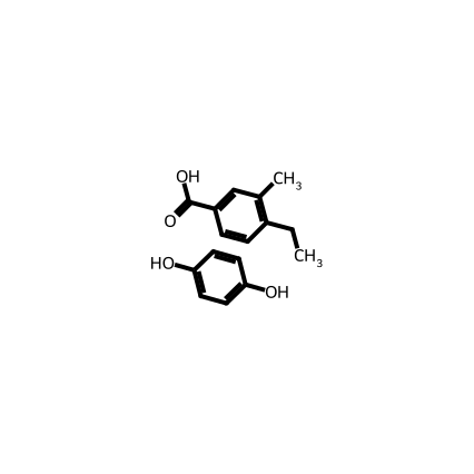 CCc1ccc(C(=O)O)cc1C.Oc1ccc(O)cc1